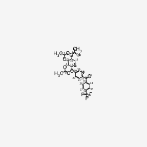 CC(=O)O[C@@H]1[C@@H](OC(C)=O)[C@H](OC(C)=O)CS[C@H]1Oc1ccc(C(=O)c2ccc(C(F)(F)F)cc2)nc1